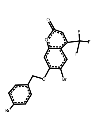 O=c1cc(C(F)(F)F)c2cc(Br)c(OCc3ccc(Br)cc3)cc2o1